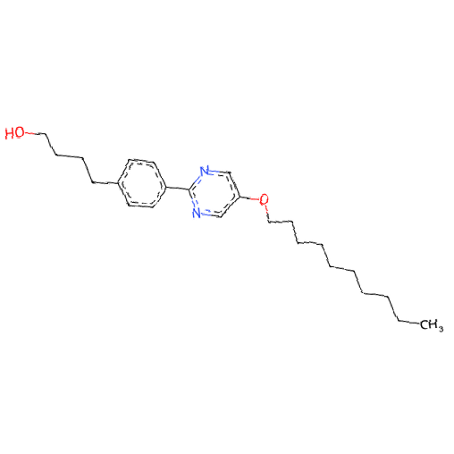 CCCCCCCCCCOc1cnc(-c2ccc(CCCCO)cc2)nc1